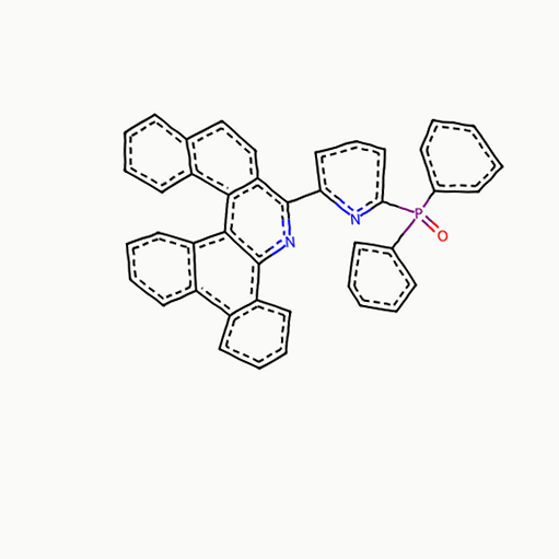 O=P(c1ccccc1)(c1ccccc1)c1cccc(-c2nc3c4ccccc4c4ccccc4c3c3c2ccc2ccccc23)n1